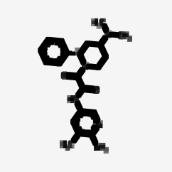 Cc1cc(NC(=O)C(=O)N2CCC(N(C)C)C[C@H]2c2ccccc2)cnc1N